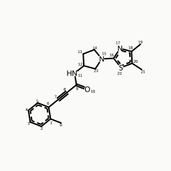 Cc1ccccc1C#CC(=O)NC1CCN(c2nc(C)c(C)s2)C1